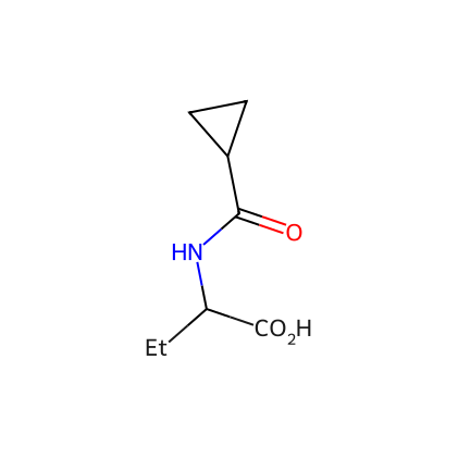 CCC(NC(=O)C1CC1)C(=O)O